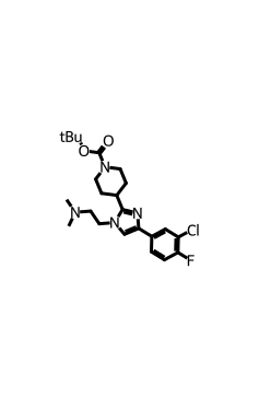 CN(C)CCn1cc(-c2ccc(F)c(Cl)c2)nc1C1CCN(C(=O)OC(C)(C)C)CC1